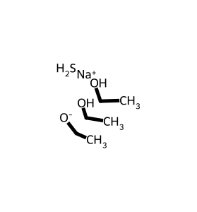 CCO.CCO.CC[O-].S.[Na+]